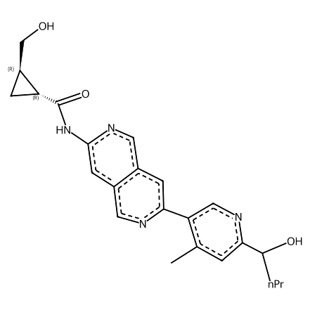 CCCC(O)c1cc(C)c(-c2cc3cnc(NC(=O)[C@@H]4C[C@H]4CO)cc3cn2)cn1